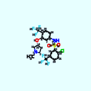 CN1CC[C@@H](Oc2cc(NS(=O)(=O)c3cc(C(F)(F)F)ccc3Cl)ccc2C(F)(F)F)C1